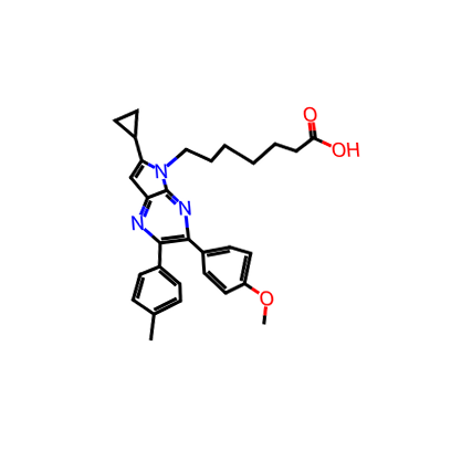 COc1ccc(-c2nc3c(cc(C4CC4)n3CCCCCCC(=O)O)nc2-c2ccc(C)cc2)cc1